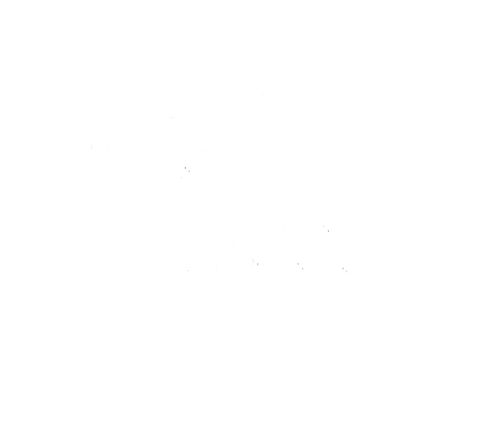 CCOC(=O)C(C)OC(=O)c1cc(Oc2ccc(C(F)(F)F)cc2Cl)ccc1[N+](=O)[O-].Cc1cc(C)nc(NC(=O)NS(=O)(=O)c2ccccc2C(=O)OC2COC2)n1